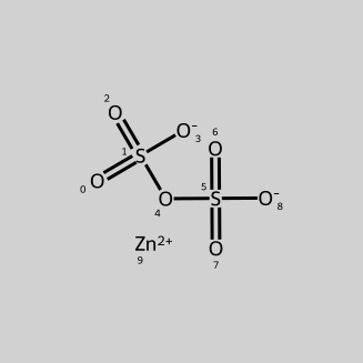 O=S(=O)([O-])OS(=O)(=O)[O-].[Zn+2]